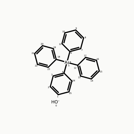 [OH-].c1ccc([As+](c2ccccc2)(c2ccccc2)c2ccccc2)cc1